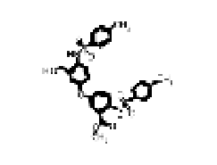 COC(=O)c1cc(Oc2ccc(NS(=O)(=O)c3ccc(C)cc3)c(CO)c2)ccc1NS(=O)(=O)c1ccc(C)cc1